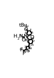 CC(C)(C)COc1ccc2c(c1)[C@@]1(COC(N)=N1)c1cc(-c3csc(C(F)F)c3)ccc1O2